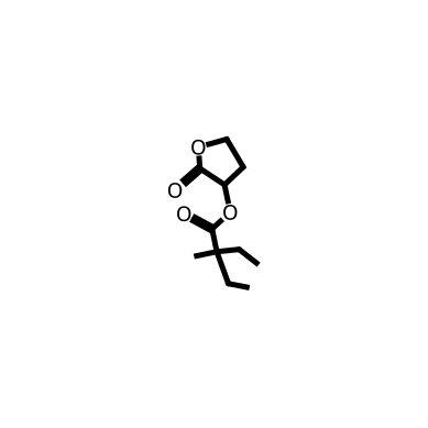 CCC(C)(CC)C(=O)OC1CCOC1=O